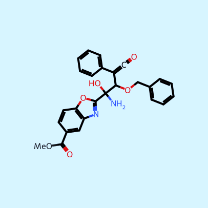 COC(=O)c1ccc2oc(C(N)(O)C(OCc3ccccc3)C(=C=O)c3ccccc3)nc2c1